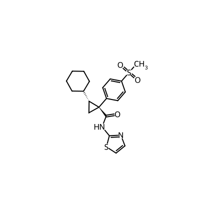 CS(=O)(=O)c1ccc([C@]2(C(=O)Nc3nccs3)C[C@@H]2C2CCCCC2)cc1